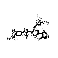 CC1(C)CC(CN(CC(=O)c2c(Cl)cncc2Cl)C(=O)c2cnn([C@H]3CC[C@](C)(C(=O)O)CC3)c2C(F)(F)F)O1